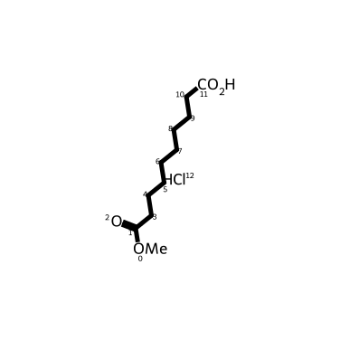 COC(=O)CCCCCCCCC(=O)O.Cl